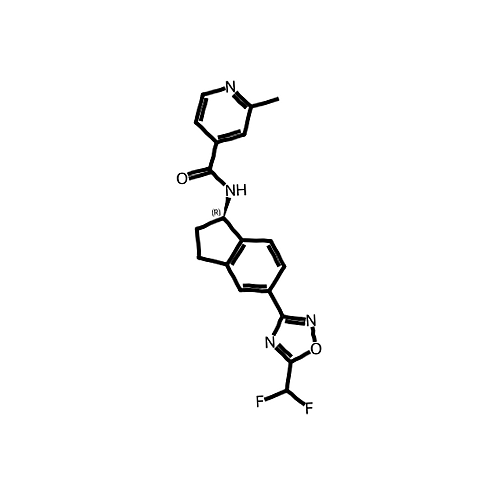 Cc1cc(C(=O)N[C@@H]2CCc3cc(-c4noc(C(F)F)n4)ccc32)ccn1